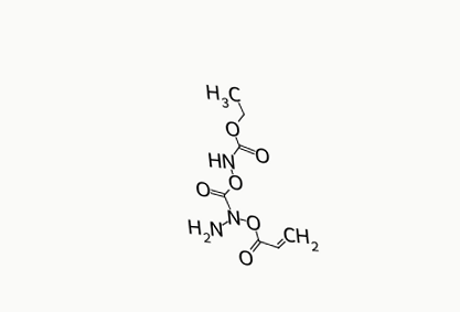 C=CC(=O)ON(N)C(=O)ONC(=O)OCC